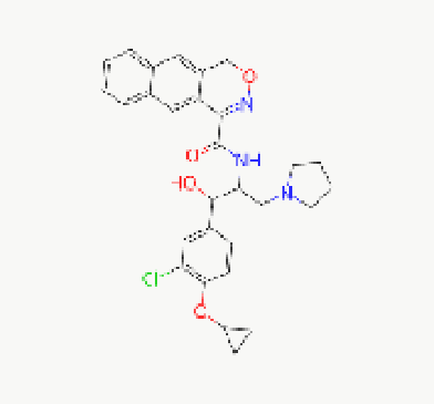 O=C(NC(CN1CCCC1)C(O)c1ccc(OC2CC2)c(Cl)c1)C1=NOCc2cc3ccccc3cc21